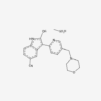 CS(=O)(=O)O.N#Cc1ccc2[nH]c(O)c(-c3ccc(CN4CCOCC4)cn3)c2c1